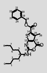 CCCCC(CCCC)Nc1nc2sc(C(=O)OCc3ccccc3)c(C)c2c(=O)o1